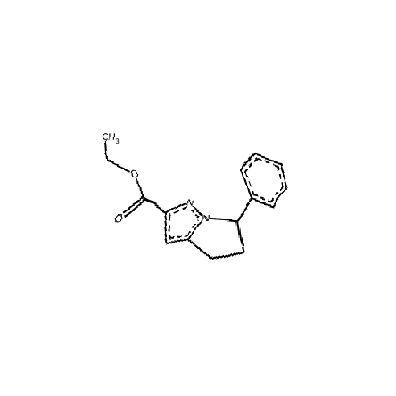 CCOC(=O)c1cc2n(n1)C(c1ccccc1)CC2